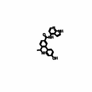 CC(N)c1ccc(C(=O)Nc2ccnc3[nH]ccc23)cc1-c1ccc(O)cc1